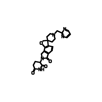 O=C1CCC(N2Cc3c(ccc4c3OCC43CCN(Cc4ncccn4)CC3)C2=O)C(=O)N1